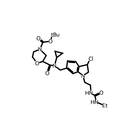 CCNC(=O)NCCN1CC(Cl)c2ccc(CN(C(=O)C3CN(C(=O)OC(C)(C)C)CCO3)C3CC3)cc21